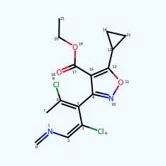 C=N/C=C(Cl)\C(=C(/C)Cl)c1noc(C2CC2)c1C(=O)OCC